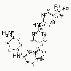 N[C@H]1CC[C@H](Nc2ccc3ncc(-c4cnc(Nc5cnc(C(F)(F)F)cn5)nc4)n3n2)CC1